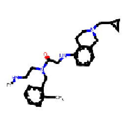 CCNCCN(Cc1ccccc1C(F)(F)F)C(=O)CNc1cccc2c1CCN(CC1CC1)C2